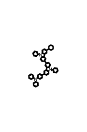 c1ccc(N(c2ccccc2)c2ccc(-c3ccc4c(c3)c3cc(-c5ccc6c(c5)c5cc(C7CCCCC7)ccc5n6-c5ccccc5)ccc3n4-c3ccccc3)cc2)cc1